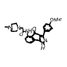 COc1ccc(-c2n[nH]c3c2C(=O)c2c(NC(=O)CN4CCN(C)CC4)cccc2-3)cc1